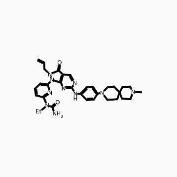 C=CCn1c(=O)c2cnc(Nc3ccc(N4CCC5(CCN(C)CC5)CC4)cc3)nc2n1-c1cccc(N(CC)C(N)=O)n1